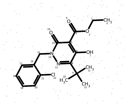 CCOC(=O)c1c(O)c(C(C)(C)C)nn(Cc2ccccc2Cl)c1=O